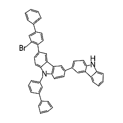 Brc1cc(-c2ccccc2)ccc1-c1ccc2c(c1)c1cc(-c3ccc4[nH]c5ccccc5c4c3)ccc1n2-c1cccc(-c2ccccc2)c1